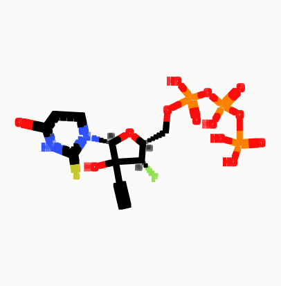 C#CC1(O)[C@@H](F)[C@@H](COP(=O)(O)OP(=O)(O)OP(=O)(O)O)O[C@H]1n1ccc(=O)[nH]c1=S